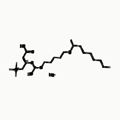 CCCCCCCC(C)OCCCCCOP(O)O[C@H](CC(=O)O)C[N+](C)(C)C.[OH-]